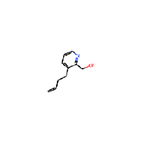 C=CCCc1cccnc1CO